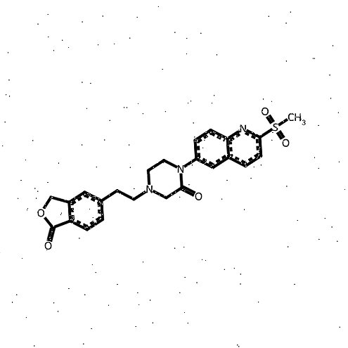 CS(=O)(=O)c1ccc2cc(N3CCN(CCc4ccc5c(c4)COC5=O)CC3=O)ccc2n1